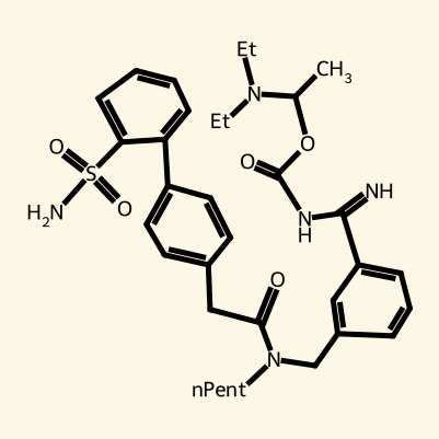 CCCCCN(Cc1cccc(C(=N)NC(=O)OC(C)N(CC)CC)c1)C(=O)Cc1ccc(-c2ccccc2S(N)(=O)=O)cc1